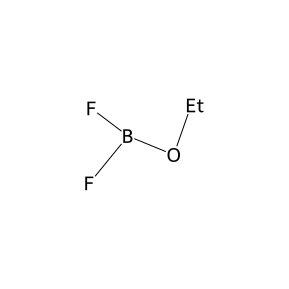 CCOB(F)F